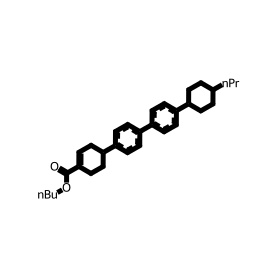 CCCCOC(=O)C1=CCC(c2ccc(-c3ccc(C4CCC(CCC)CC4)cc3)cc2)CC1